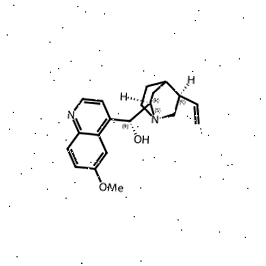 C=C[C@H]1C[N@@]2CCC1C[C@@H]2[C@H](O)c1ccnc2ccc(OC)cc12